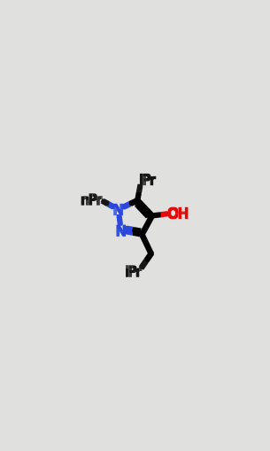 CCCn1nc(CC(C)C)c(O)c1C(C)C